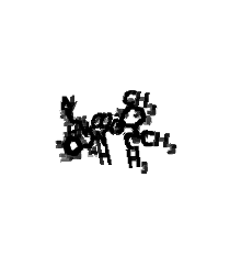 CC1CCC(C(C)C)C(OC(=O)NC(Cc2ccccc2)C(=O)NCCC#N)C1